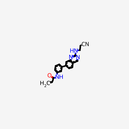 C=CC(=O)Nc1cccc(-c2ccc3cnc(NCCC#N)nc3c2)c1